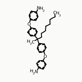 CCCCCCCCC(C)(c1ccc(Oc2ccc(N)cc2)cc1)c1ccc(Oc2ccc(N)cc2)cc1